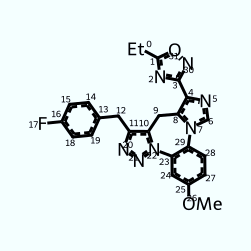 CCc1nc(-c2ncn3c2Cc2c(Cc4ccc(F)cc4)nnn2-c2cc(OC)ccc2-3)no1